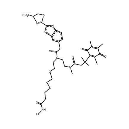 CCNC(=O)CCOCCOCCN(CCN(C)C(=O)CC(C)(C)C1=C(C)C(=O)C(C)=C(C)C1=O)C(=O)Oc1ccc2nc(C3=NC(C(=O)O)CS3)sc2c1